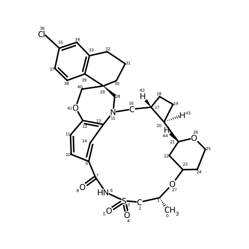 C[C@@H]1CS(=O)(=O)NC(=O)c2ccc3c(c2)N(C[C@@H]2CC[C@H]2[C@H]2CC(CCO2)O1)C[C@@]1(CCCc2cc(Cl)ccc21)CO3